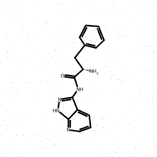 N[C@@H](Cc1ccccc1)C(=O)Nc1n[nH]c2ncccc12